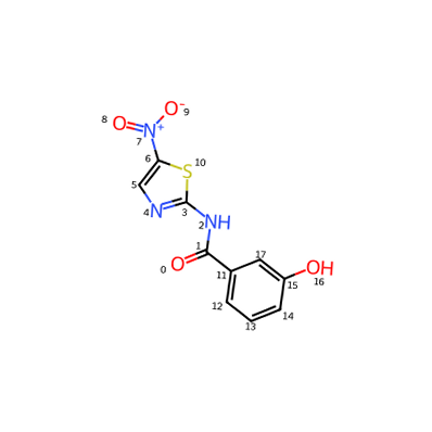 O=C(Nc1ncc([N+](=O)[O-])s1)c1cccc(O)c1